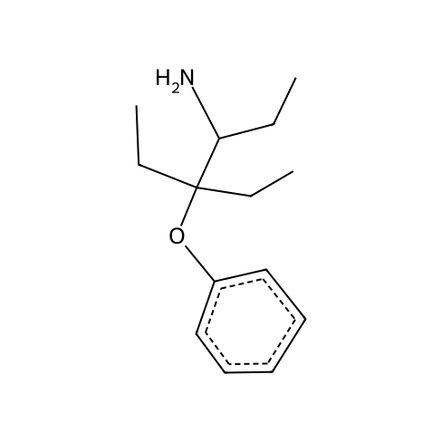 CCC(N)C(CC)(CC)Oc1ccccc1